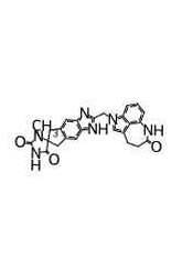 CN1C(=O)NC(=O)C12Cc1cc3nc(Cn4cc5c6c(cccc64)NC(=O)CC5)[nH]c3cc1C2